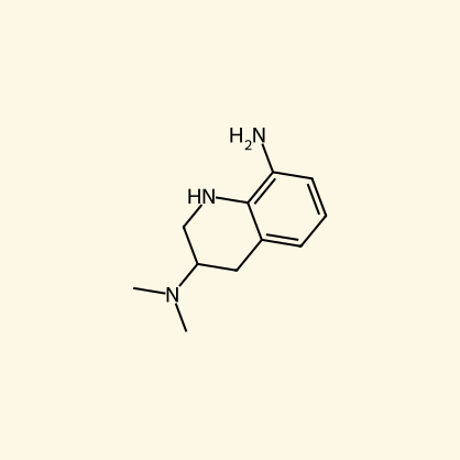 CN(C)C1CNc2c(N)cccc2C1